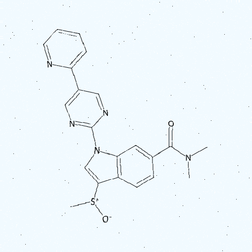 CN(C)C(=O)c1ccc2c([S+](C)[O-])cn(-c3ncc(-c4ccccn4)cn3)c2c1